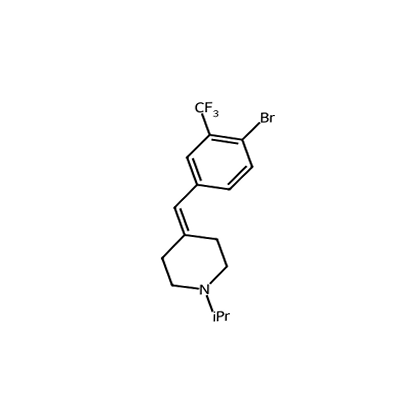 CC(C)N1CCC(=Cc2ccc(Br)c(C(F)(F)F)c2)CC1